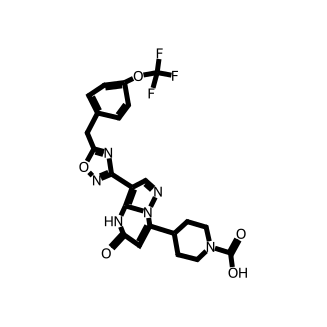 O=C(O)N1CCC(c2cc(=O)[nH]c3c(-c4noc(Cc5ccc(OC(F)(F)F)cc5)n4)cnn23)CC1